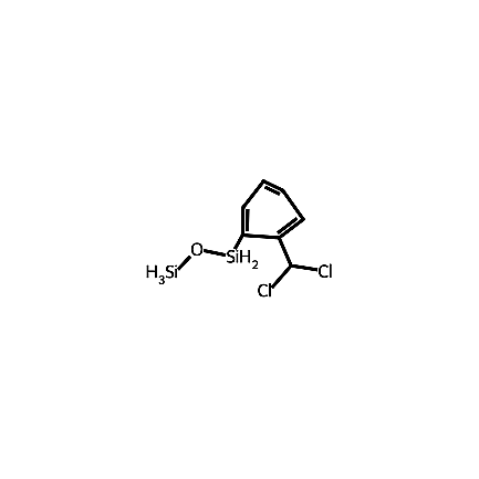 [SiH3]O[SiH2]c1ccccc1C(Cl)Cl